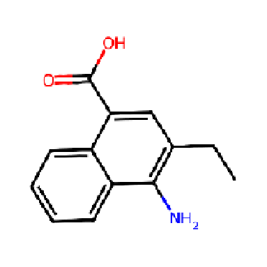 CCc1cc(C(=O)O)c2ccccc2c1N